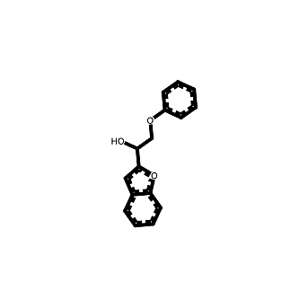 OC(COc1ccccc1)c1cc2ccccc2o1